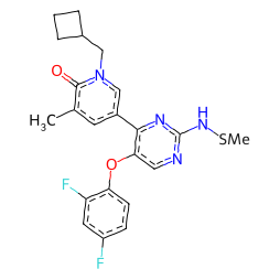 CSNc1ncc(Oc2ccc(F)cc2F)c(-c2cc(C)c(=O)n(CC3CCC3)c2)n1